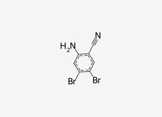 N#Cc1cc(Br)c(Br)cc1N